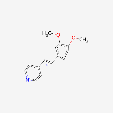 COc1ccc(/C=C/c2ccncc2)cc1OC